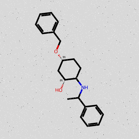 CC(NC1CC[C@@H](OCc2ccccc2)C[C@H]1O)c1ccccc1